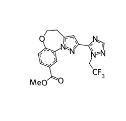 COC(=O)c1ccc2c(c1)-n1nc(-c3ncnn3CC(F)(F)F)cc1CCO2